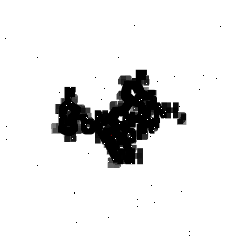 Nc1nc2c(-c3cc4nc(OC[C@@]56CCCN5C[C@H](F)C6)nc(N5C6CNCC5COC6)c4c(=O)n3C3CC3(F)F)ccc(F)c2s1